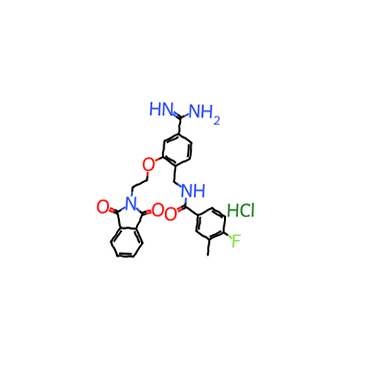 Cc1cc(C(=O)NCc2ccc(C(=N)N)cc2OCCN2C(=O)c3ccccc3C2=O)ccc1F.Cl